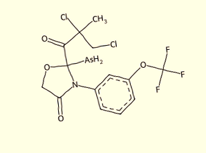 CC(Cl)(CCl)C(=O)C1([AsH2])OCC(=O)N1c1cccc(OC(F)(F)F)c1